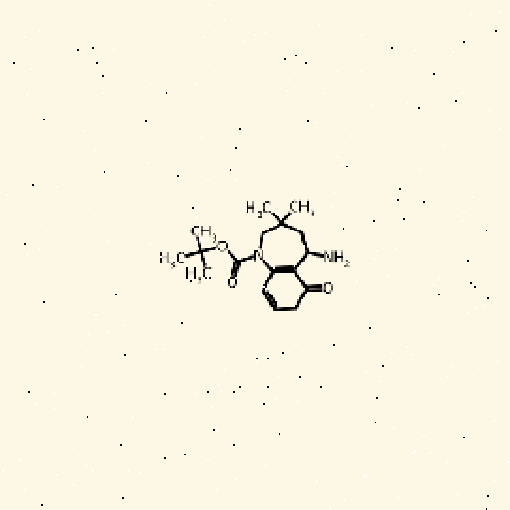 CC1(C)CC(N)C2=C(C=CCC2=O)N(C(=O)OC(C)(C)C)C1